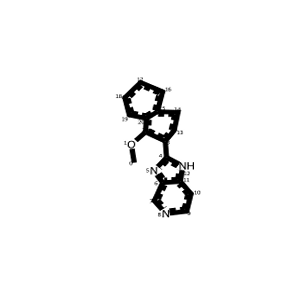 COc1c(-c2nc3cnccc3[nH]2)ccc2ccccc12